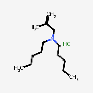 C=C(C)CN(CCCCC)CCCCC.Cl